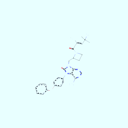 CC(C)(N)C=C(C#N)C(=O)N1CCC1Cn1c(=O)n(-c2ccc(Oc3ccccc3)cc2)c2c(N)ncnc21